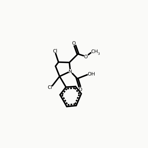 COC(=O)C1C(Cl)CC(Cl)(c2ccccc2)N1C(=O)O